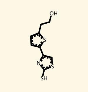 OCCc1ccc(-c2csc(S)n2)s1